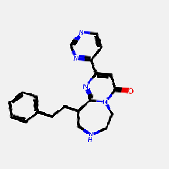 O=c1cc(-c2ccncn2)nc2n1CCNCC2CCc1ccccc1